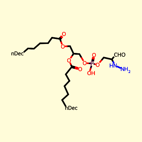 CCCCCCCCCCCCCCCC(=O)OCC(COP(=O)(O)OCC(C=O)NN)OC(=O)CCCCCCCCCCCCCCC